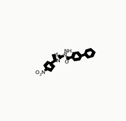 NN(C(=O)c1ccc(-c2ccccc2)cc1)c1nc(-c2ccc([N+](=O)[O-])cc2)cs1